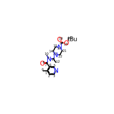 Cc1ccncc1C(=O)N(C)C(C)N1CCN(C(=O)OC(C)(C)C)CC1